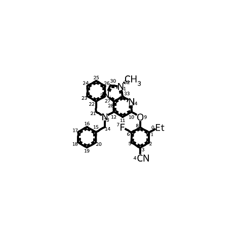 CCc1cc(C#N)cc(F)c1Oc1cc(N(Cc2ccccc2)Cc2ccccc2)c2ncn(C)c2n1